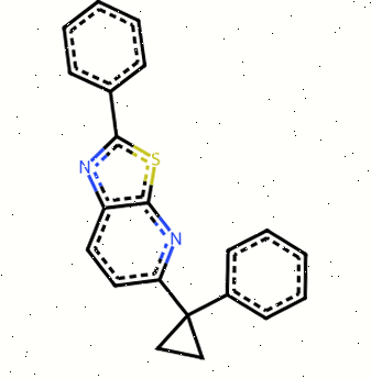 c1ccc(-c2nc3ccc(C4(c5ccccc5)CC4)nc3s2)cc1